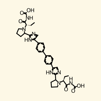 CC[C@@H](C(=O)NC(=O)O)N1CCCC1c1ncc(-c2ccc(-c3ccc(-c4cnc(C5CCCN5[C@@H](CC)C(=O)NC(=O)O)[nH]4)cc3)cc2)[nH]1